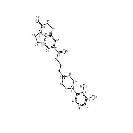 O=C(CCCN1CCN(c2cccc(Cl)c2Cl)CC1)c1cc2c3c(c1)CCN3C(=O)CC2